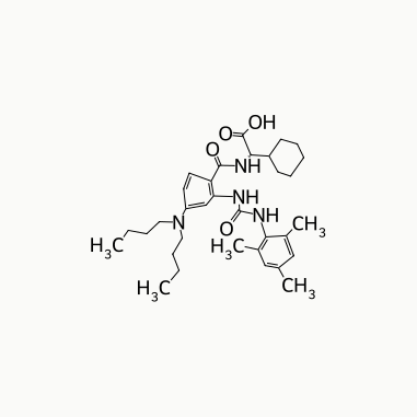 CCCCN(CCCC)c1ccc(C(=O)N[C@H](C(=O)O)C2CCCCC2)c(NC(=O)Nc2c(C)cc(C)cc2C)c1